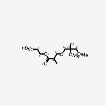 CCCCCCCCCCCCOC(=O)C(C)CSCC(C)(COC)OC